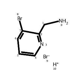 NCc1ncccc1Br.[Br-].[H+]